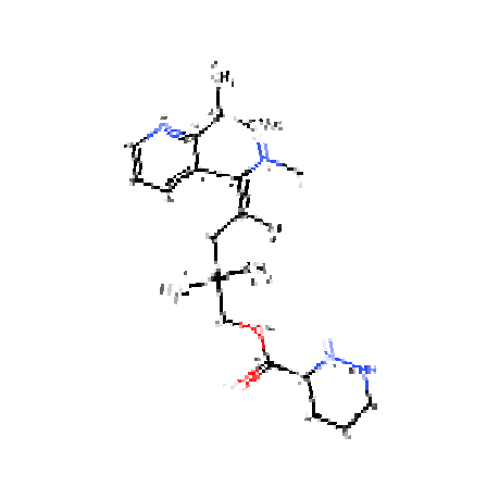 CCN/C(=C(\CC)CC(C)(C)COC(=O)[C@@H]1CCCNN1)c1cccnc1[C@H](C)OC